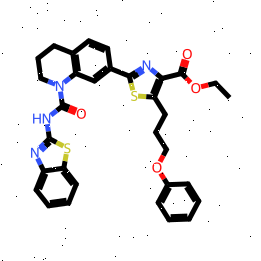 CCOC(=O)c1nc(-c2ccc3c(c2)N(C(=O)Nc2nc4ccccc4s2)CCC3)sc1CCCOc1ccccc1